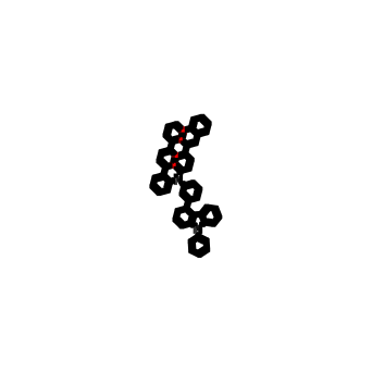 C1=Cc2c(c3ccccc3n2-c2ccccc2)C(c2cccc(N(c3ccc(-c4ccc5ccccc5c4)cc3)c3ccccc3-c3ccc(-c4ccccc4)cc3)c2)C1